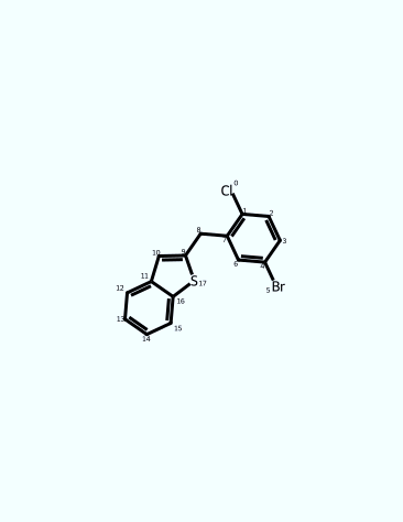 Clc1ccc(Br)cc1Cc1cc2ccccc2s1